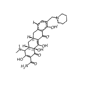 CN(C)C1C(O)=C(C(N)=O)C(=O)[C@@]2(O)C(O)=C3C(=O)c4c(O)c(CN5CCCCC5)cc(I)c4C[C@H]3C[C@@H]12